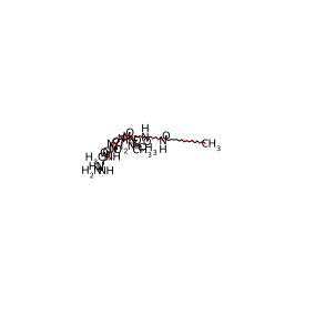 CCCCCCCCCCCCCCCC(=O)NCCCCCC(=O)NCCCC[C@H](NC(=O)[C@@H](N)[C@@H](C)CC)C(=O)N1CCN(c2ccc3ncn(CC(=O)N[C@@H](CCCNC(=N)N)C(C)=O)c(=O)c3c2)CC1